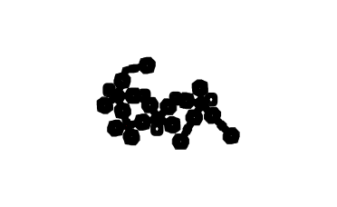 O=C1C(c2ccc(C#Cc3ccccc3)cc2)=C(c2ccc(C#Cc3ccccc3)cc2)C(c2ccc(Oc3ccc(C4=C(c5ccccc5)C(=O)C(c5ccc(C#Cc6ccccc6)cc5)=C4c4ccc(Oc5ccc(C6=C(c7ccc(CC#Cc8ccccc8)cc7)C(=O)C(c7ccccc7)=C6c6ccc(C#Cc7ccccc7)cc6)cc5)cc4)cc3)cc2)=C1c1ccccc1